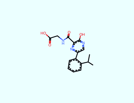 CC(C)c1ccccc1-c1cnc(O)c(C(=O)NCC(=O)O)n1